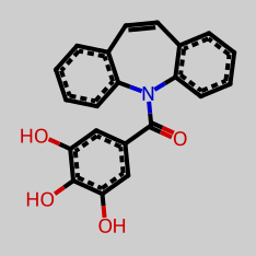 O=C(c1cc(O)c(O)c(O)c1)N1c2ccccc2C=Cc2ccccc21